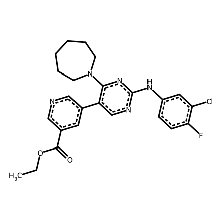 CCOC(=O)c1cncc(-c2cnc(Nc3ccc(F)c(Cl)c3)nc2N2CCCCCC2)c1